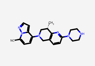 C[C@H]1CN(c2ccc(C#N)n3nccc23)Cc2ccc(N3CCNCC3)nc21